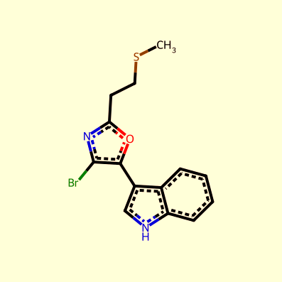 CSCCc1nc(Br)c(-c2c[nH]c3ccccc23)o1